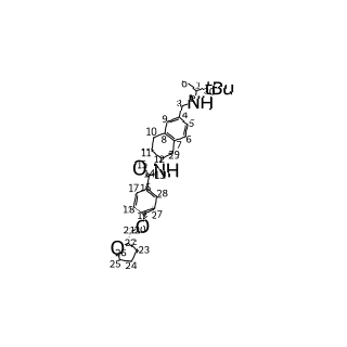 CC(NCc1ccc2c(c1)CC[C@H](NC(=O)c1ccc(OC[C@@H]3CCCO3)cc1)C2)C(C)(C)C